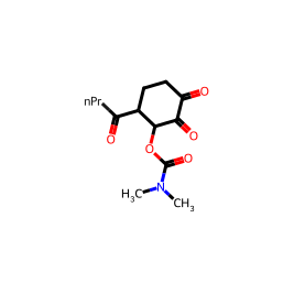 CCCC(=O)C1CCC(=O)C(=O)C1OC(=O)N(C)C